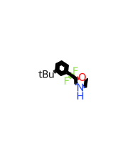 CC(C)(C)c1cccc(C(F)(F)C2CNCCO2)c1